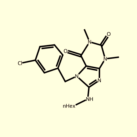 CCCCCCNc1nc2c(c(=O)n(C)c(=O)n2C)n1Cc1cccc(Cl)c1